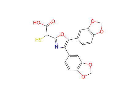 O=C(O)C(S)c1nc(-c2ccc3c(c2)OCO3)c(-c2ccc3c(c2)OCO3)o1